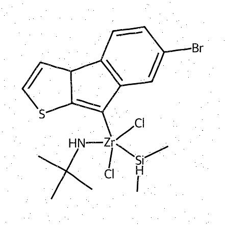 C[SiH](C)[Zr]([Cl])([Cl])([NH]C(C)(C)C)[C]1=C2SC=CC2c2ccc(Br)cc21